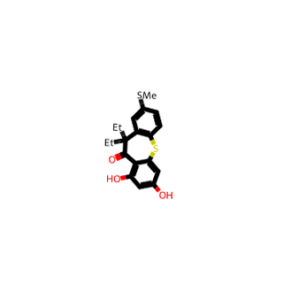 CCC1(CC)C(=O)c2c(O)cc(O)cc2Sc2ccc(SC)cc21